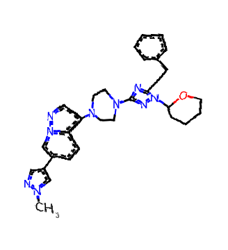 Cn1cc(-c2ccc3c(N4CCN(c5nc(Cc6ccccc6)n(C6CCCCO6)n5)CC4)cnn3c2)cn1